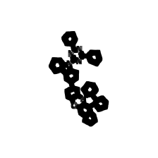 c1ccc(-c2nc(-c3ccccc3)nc(-n3c4ccccc4c4cc(-c5ccc6c(c5)N5c7ccccc7-c7ccccc7-c7c5c(cc5ccccc75)O6)ccc43)n2)cc1